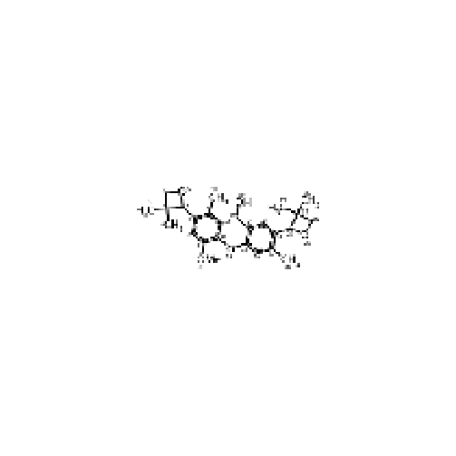 COc1cc(C2OCC2(C)C)c(C)cc1Oc1cc(C)c(C2OCC2(C)C)cc1CO